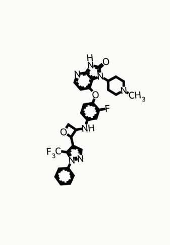 CN1CCC(n2c(=O)[nH]c3nccc(Oc4ccc(NC5COC5c5cnn(-c6ccccc6)c5C(F)(F)F)cc4F)c32)CC1